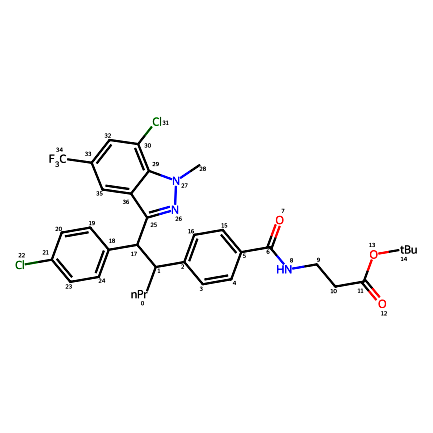 CCCC(c1ccc(C(=O)NCCC(=O)OC(C)(C)C)cc1)C(c1ccc(Cl)cc1)c1nn(C)c2c(Cl)cc(C(F)(F)F)cc12